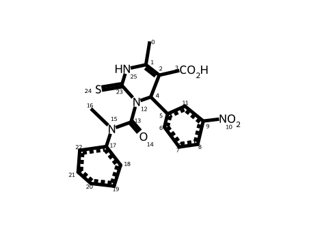 CC1=C(C(=O)O)C(c2cccc([N+](=O)[O-])c2)N(C(=O)N(C)c2ccccc2)C(=S)N1